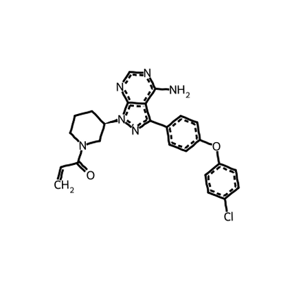 C=CC(=O)N1CCC[C@@H](n2nc(-c3ccc(Oc4ccc(Cl)cc4)cc3)c3c(N)ncnc32)C1